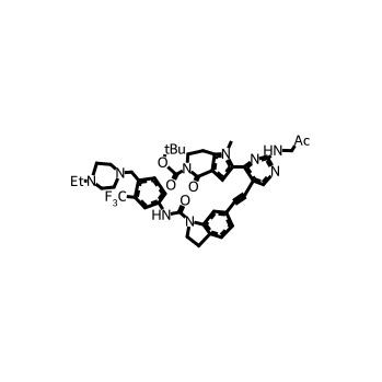 CCN1CCN(Cc2ccc(NC(=O)N3CCc4ccc(C#Cc5cnc(NCC(C)=O)nc5-c5cc6c(n5C)CCN(C(=O)OC(C)(C)C)C6=O)cc43)cc2C(F)(F)F)CC1